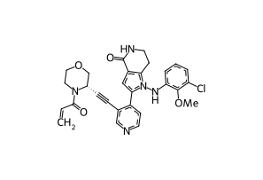 C=CC(=O)N1CCOC[C@@H]1C#Cc1cnccc1-c1cc2c(n1Nc1cccc(Cl)c1OC)CCNC2=O